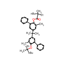 CCCCC(C)(CCC)Oc1c(C)cc(C(C)(C)c2cc(C)c(OC(=O)C(C)(CC)CCCC)c(-c3ccccc3)c2)cc1-c1ccccc1